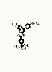 CC(=O)NC1CCN(c2cc(NC(=O)c3ccc(C(C)(C)O)cc3)nc3cc(C)nn23)CC1